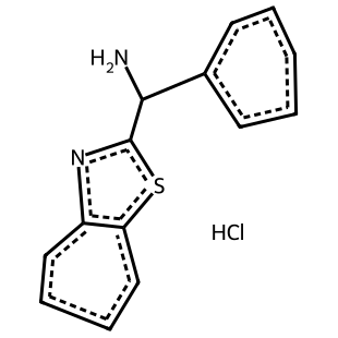 Cl.NC(c1ccccc1)c1nc2ccccc2s1